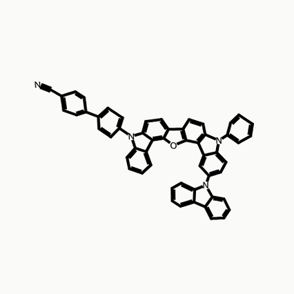 N#Cc1ccc(-c2ccc(-n3c4ccccc4c4c5oc6c(ccc7c6c6cc(-n8c9ccccc9c9ccccc98)ccc6n7-c6ccccc6)c5ccc43)cc2)cc1